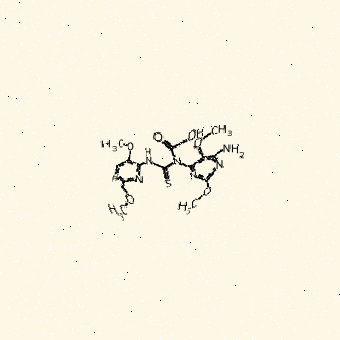 COc1ncc(OC)c(NC(=S)N(C(=O)O)c2nc(OC)nc(N)c2OC)n1